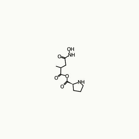 CC(CC(=O)NO)C(=O)OC(=O)[C@@H]1CCCN1